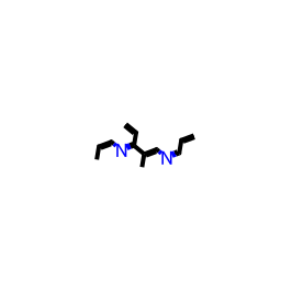 C=C\C=N/C=C(C)/C(C=C)=N/C=C\C